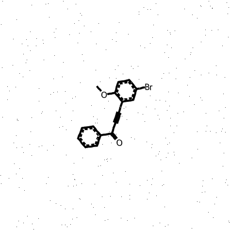 COc1ccc(Br)cc1C#CC(=O)c1ccccc1